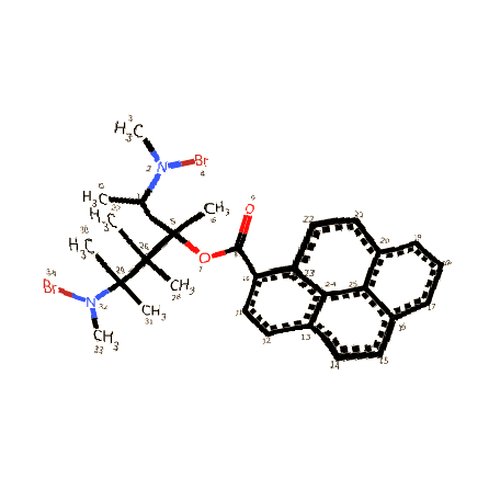 C[C](N(C)Br)C(C)(OC(=O)c1ccc2ccc3cccc4ccc1c2c34)C(C)(C)C(C)(C)N(C)Br